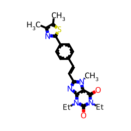 CCn1c(=O)c2c(nc(/C=C/c3ccc(-c4nc(C)c(C)s4)cc3)n2C)n(CC)c1=O